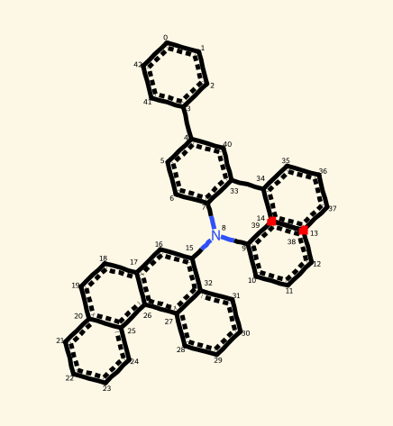 c1ccc(-c2ccc(N(c3ccccc3)c3cc4ccc5ccccc5c4c4ccccc34)c(-c3ccccc3)c2)cc1